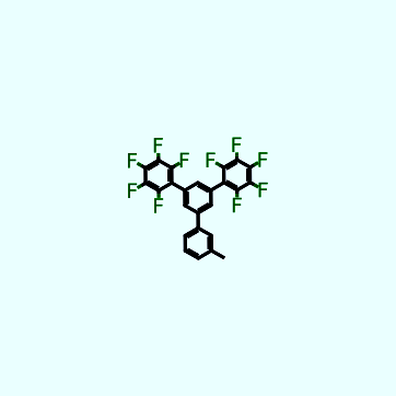 Cc1cccc(-c2cc(-c3c(F)c(F)c(F)c(F)c3F)cc(-c3c(F)c(F)c(F)c(F)c3F)c2)c1